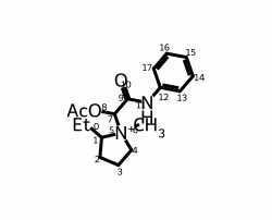 CCC1CCC[N+]1(C)C(OC(C)=O)C(=O)Nc1ccccc1